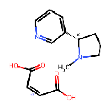 CN1CCC[C@H]1c1cccnc1.O=C(O)/C=C\C(=O)O